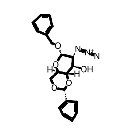 [N-]=[N+]=N[C@H]1[C@@H](OCc2ccccc2)O[C@@H]2CO[C@@H](c3ccccc3)O[C@H]2[C@@H]1O